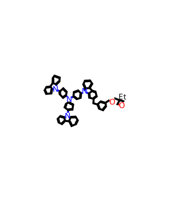 CCC1(COCc2cccc(Cc3ccc4c5ccccc5n(-c5ccc(N(c6ccc(-n7c8ccccc8c8ccccc87)cc6)c6ccc(-n7c8ccccc8c8ccccc87)cc6)cc5)c4c3)c2)COC1